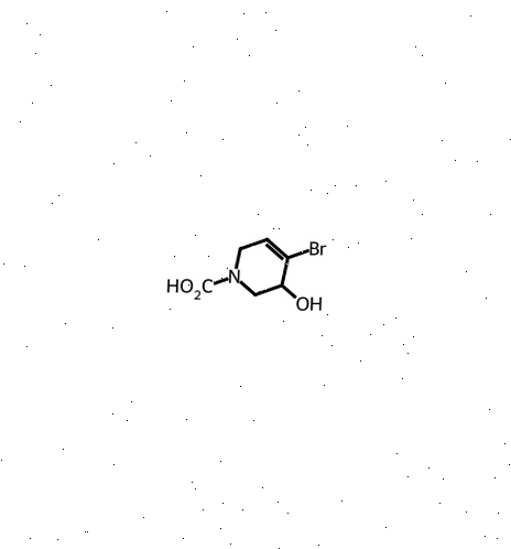 O=C(O)N1CC=C(Br)C(O)C1